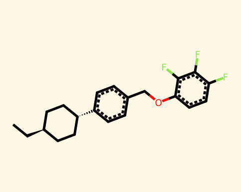 CC[C@H]1CC[C@H](c2ccc(COc3ccc(F)c(F)c3F)cc2)CC1